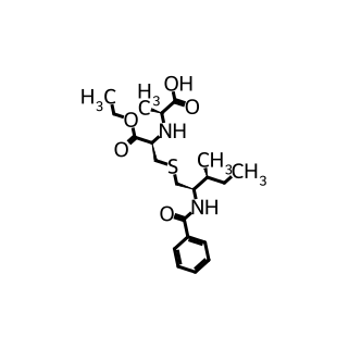 CCOC(=O)[C@H](CSC[C@H](NC(=O)c1ccccc1)[C@@H](C)CC)N[C@@H](C)C(=O)O